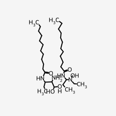 CCCCCCCCCCCC(=O)NC(CC)C(N)C(O)O.CCCCCCCCCCCC(=O)NC(CC)N(O)CC